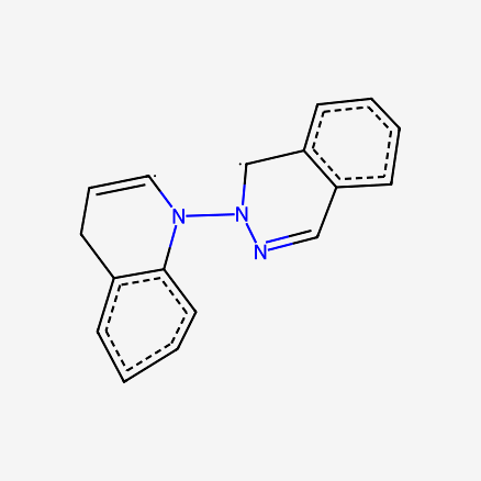 [C]1=CCc2ccccc2N1N1[CH]c2ccccc2C=N1